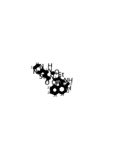 CCC(Cn1c(=O)[nH]c2c(sc3nccnc32)c1=O)C1NC[C@@H]2CCc3cccc(OC)c3[C@H]12